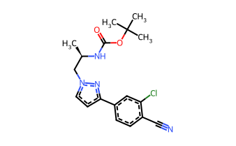 C[C@H](Cn1ccc(-c2ccc(C#N)c(Cl)c2)n1)NC(=O)OC(C)(C)C